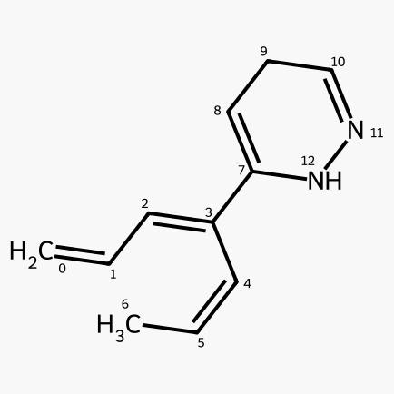 C=C/C=C(\C=C/C)C1=CCC=NN1